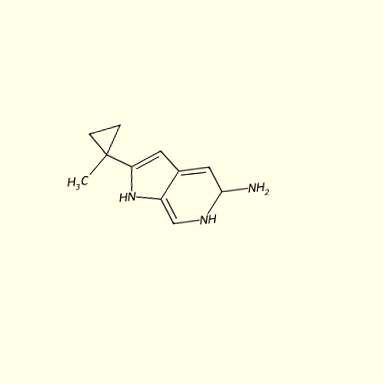 CC1(c2cc3c([nH]2)=CNC(N)C=3)CC1